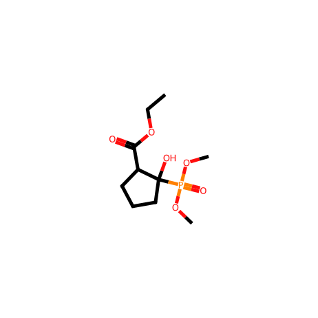 CCOC(=O)C1CCCC1(O)P(=O)(OC)OC